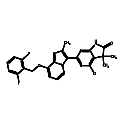 Cc1nc2c(OCc3c(F)cccc3F)cccn2c1-c1nc(Cl)c2c(n1)NC(=O)C2(C)C